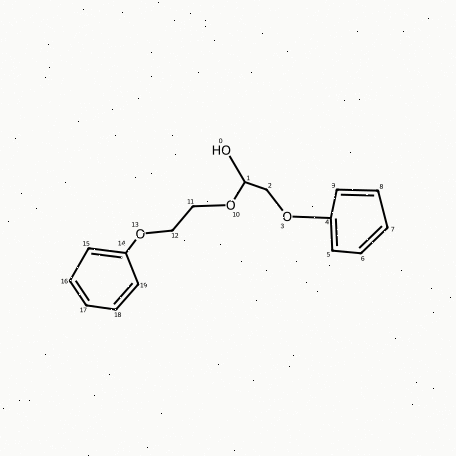 OC(COc1ccccc1)OCCOc1ccccc1